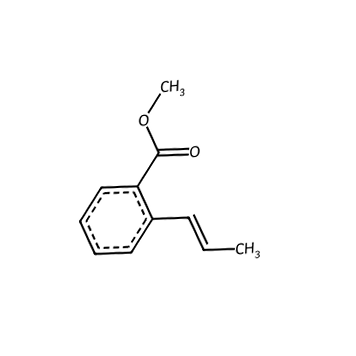 CC=Cc1ccccc1C(=O)OC